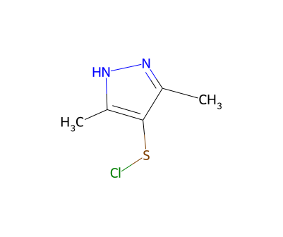 Cc1n[nH]c(C)c1SCl